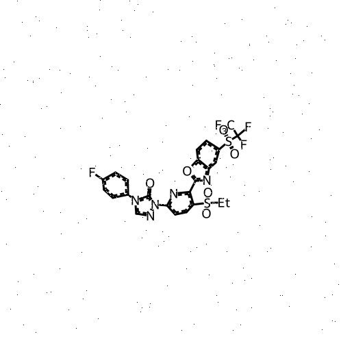 CCS(=O)(=O)c1ccc(-n2ncn(-c3ccc(F)cc3)c2=O)nc1-c1nc2cc(S(=O)(=O)C(F)(F)C(F)(F)F)ccc2o1